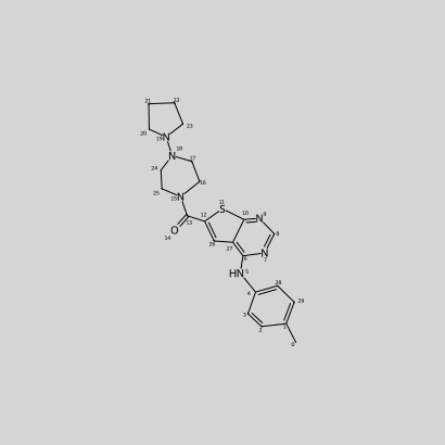 Cc1ccc(Nc2ncnc3sc(C(=O)N4CCN(N5CCCC5)CC4)cc23)cc1